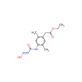 CCOC(=O)Cc1cc(C)c(NC(=O)/C=N/O)cc1C